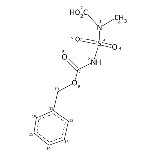 CN(C(=O)O)S(=O)(=O)NC(=O)OCc1ccccc1